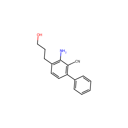 N#Cc1c(-c2ccccc2)ccc(CCCO)c1N